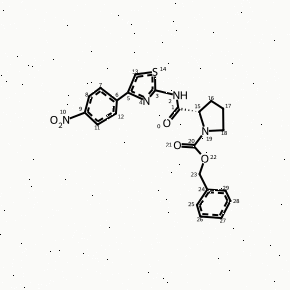 O=C(Nc1nc(-c2ccc([N+](=O)[O-])cc2)cs1)[C@@H]1CCCN1C(=O)OCc1ccccc1